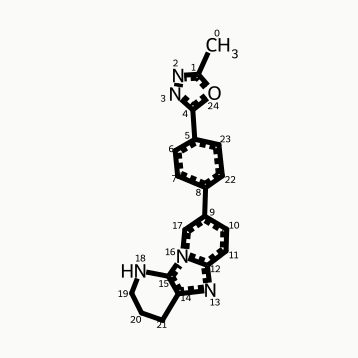 Cc1nnc(-c2ccc(-c3ccc4nc5c(n4c3)NCCC5)cc2)o1